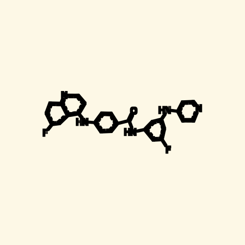 O=C(Nc1cc(F)cc(Nc2ccncc2)c1)c1ccc(Nc2ccnc3ccc(F)cc23)cc1